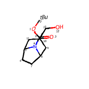 CC(C)(C)OC(=O)N1C2CCC1CC(CO)C2